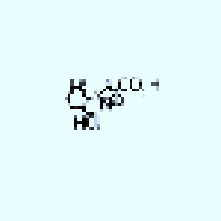 Cl.O=C(O)c1cc(-c2ccccc2Cl)no1